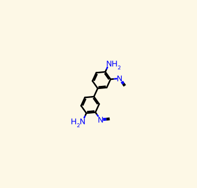 C=Nc1cc(-c2ccc(N)c(N=C)c2)ccc1N